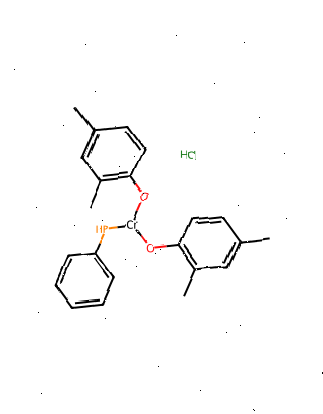 Cc1ccc([O][Cr]([O]c2ccc(C)cc2C)[PH]c2ccccc2)c(C)c1.Cl